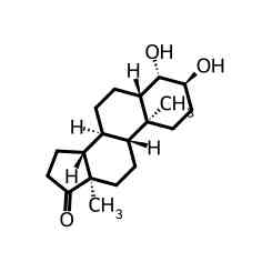 C[C@@]12CC[C@H](O)[C@@H](O)[C@H]1CC[C@H]1[C@H]2CC[C@@]2(C)C(=O)CC[C@H]12